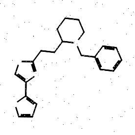 c1ccc(CN2CCCCC2CCc2nc(-c3cccs3)cs2)cc1